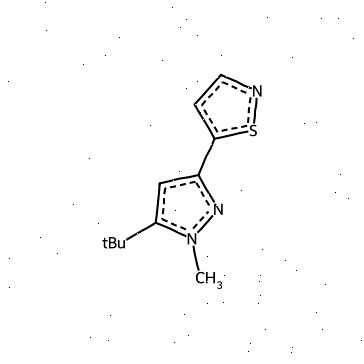 Cn1nc(-c2ccns2)cc1C(C)(C)C